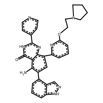 Nc1c(-c2cccc3[nH]ncc23)cc(-c2cccc(OCCN3CCCC3)n2)c2nc(-c3ccncc3)[nH]c(=O)c12